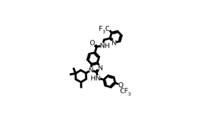 CC1CC(n2c(Nc3ccc(OC(F)(F)F)cc3)nc3cc(C(=O)NCc4ncccc4C(F)(F)F)ccc32)CC(C)(C)C1